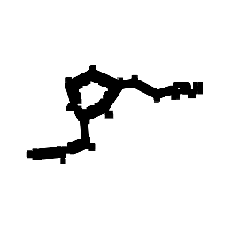 [N-]=[N+]=Nc1cccc(CCC(=O)O)c1